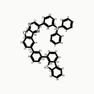 c1ccc(N(c2ccccc2)c2cccc(-c3cnc4oc5ccc(-c6cccc(-c7cccc8c7sc7ccccc78)c6)cc5c4n3)c2)cc1